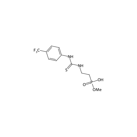 COP(=O)(O)CCNC(=S)Nc1ccc(C(F)(F)F)cc1